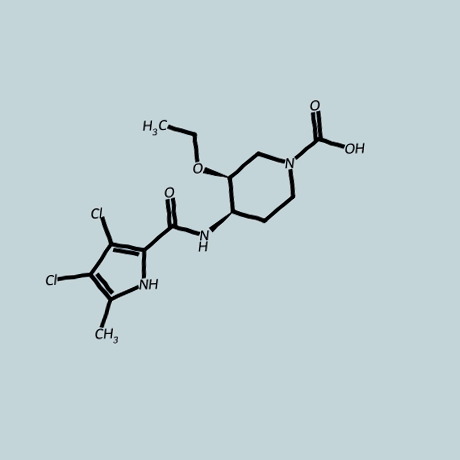 CCO[C@H]1CN(C(=O)O)CC[C@H]1NC(=O)c1[nH]c(C)c(Cl)c1Cl